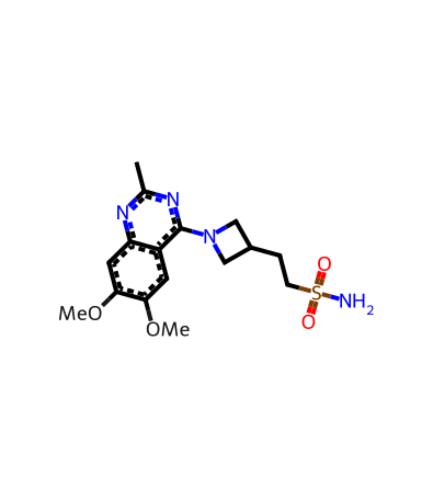 COc1cc2nc(C)nc(N3CC(CCS(N)(=O)=O)C3)c2cc1OC